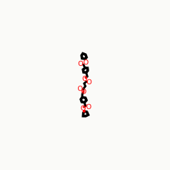 O=C(CCC(=O)OCc1ccc(C(=O)Oc2ccccc2)cc1)OCc1ccc(C(=O)Oc2ccccc2)cc1